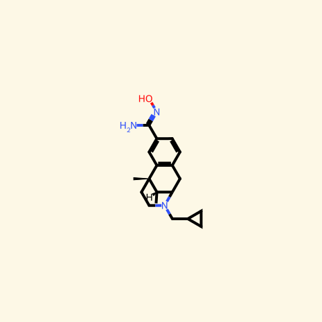 C[C@H]1C2Cc3ccc(/C(N)=N/O)cc3[C@@]1(C)CCN2CC1CC1